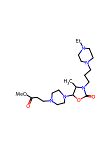 CCN1CCN(CCCN2C(=O)OC(N3CCN(CCC(=O)OC)CC3)C2C)CC1